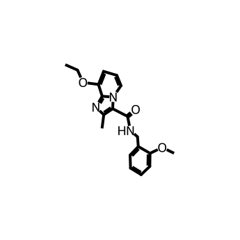 CCOc1cccn2c(C(=O)NCc3ccccc3OC)c(C)nc12